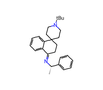 C[C@H](N=C1CCC2(CCN(C(C)(C)C)CC2)c2ccccc21)c1ccccc1